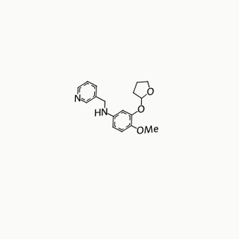 COc1ccc(NCc2cccnc2)cc1OC1CCCO1